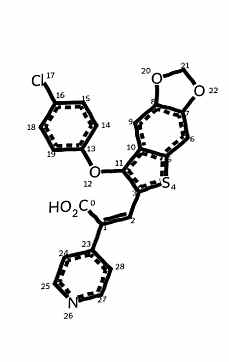 O=C(O)C(=Cc1sc2cc3c(cc2c1Oc1ccc(Cl)cc1)OCO3)c1ccncc1